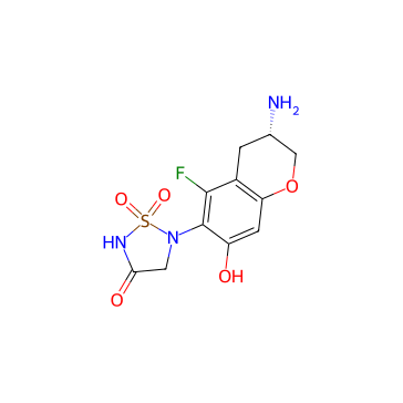 N[C@@H]1COc2cc(O)c(N3CC(=O)NS3(=O)=O)c(F)c2C1